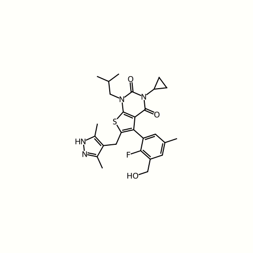 Cc1cc(CO)c(F)c(-c2c(Cc3c(C)n[nH]c3C)sc3c2c(=O)n(C2CC2)c(=O)n3CC(C)C)c1